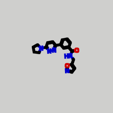 O=C(NCc1ccno1)c1cccc(-c2ccc(N3CCCC3)nn2)c1